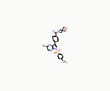 Cc1ccc(S(=O)(=O)n2cc(-c3ccc(C(=O)N4CC5(COC5)C4)cc3)c3nc(Br)cnc32)cc1